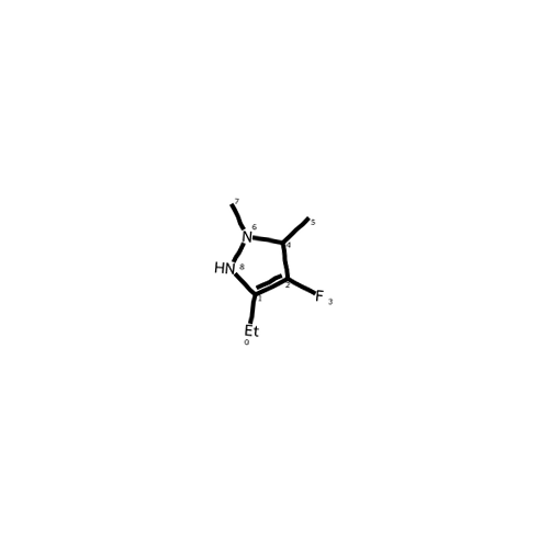 CCC1=C(F)C(C)N(C)N1